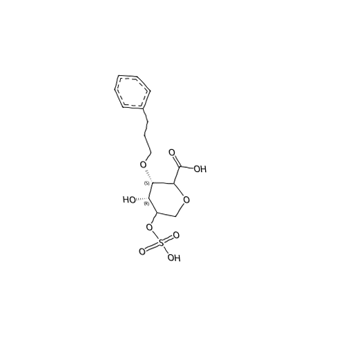 O=C(O)C1OCC(OS(=O)(=O)O)[C@H](O)[C@@H]1OCCCc1ccccc1